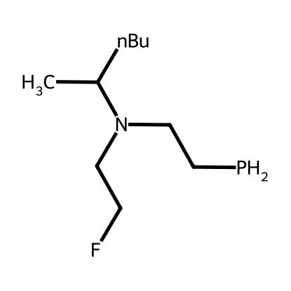 CCCCC(C)N(CCF)CCP